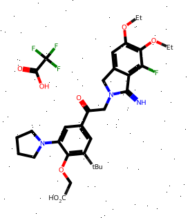 CCOc1cc2c(c(F)c1OCC)C(=N)N(CC(=O)c1cc(N3CCCC3)c(OCC(=O)O)c(C(C)(C)C)c1)C2.O=C(O)C(F)(F)F